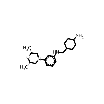 C[C@@H]1CN(c2cccc(NCC3CCC(N)CC3)c2)C[C@H](C)O1